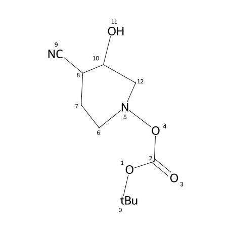 CC(C)(C)OC(=O)ON1CCC(C#N)C(O)C1